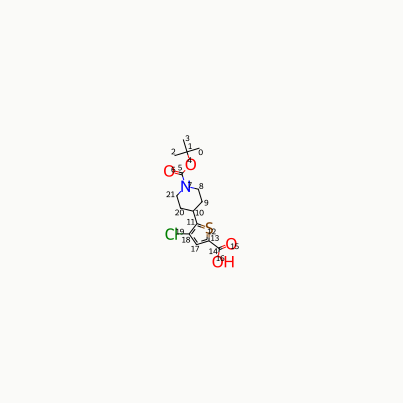 CC(C)(C)OC(=O)N1CCC(c2sc(C(=O)O)cc2Cl)CC1